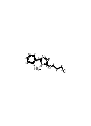 Cn1c(SCCCCl)nnc1-c1ccccc1